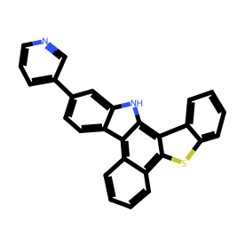 c1cncc(-c2ccc3c(c2)[nH]c2c3c3ccccc3c3sc4ccccc4c23)c1